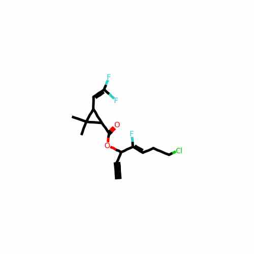 C#CC(OC(=O)C1C(C=C(F)F)C1(C)C)C(F)=CCCCl